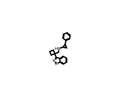 c1ccc(C2CC2NCC2(c3noc4ccccc34)CCC2)cc1